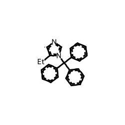 CCc1[c]ncn1C(c1ccccc1)(c1ccccc1)c1ccccc1